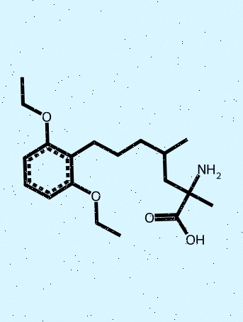 CCOc1cccc(OCC)c1CCCC(C)CC(C)(N)C(=O)O